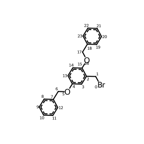 BrCc1cc(OCc2ccccc2)ccc1OCc1ccccc1